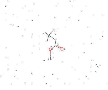 CC(C)(C)CC(=O)OI